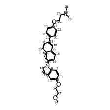 COCCOc1ccc2c(c1)ncn2-c1ccc2cc(-c3ccc(OCCN(C)C)cc3)ccc2n1